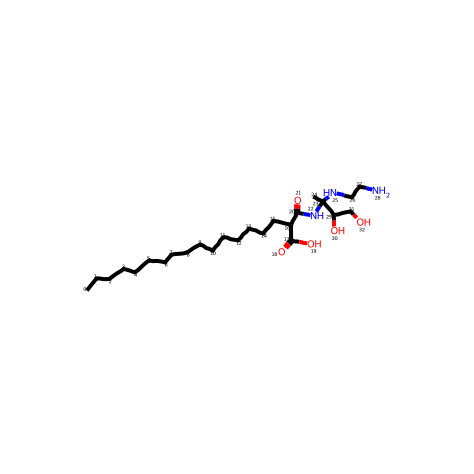 CCCCCCCCCCCCCCCCC(C(=O)O)C(=O)NC(C)(NCCN)C(O)CO